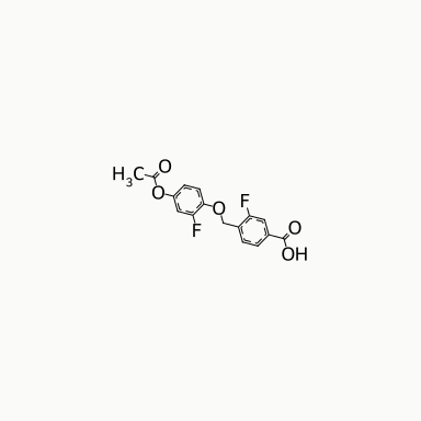 CC(=O)Oc1ccc(OCc2ccc(C(=O)O)cc2F)c(F)c1